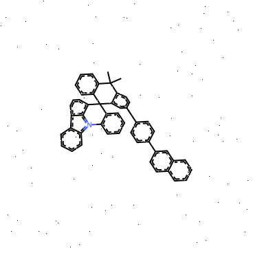 CC1(C)c2ccccc2C2(c3ccccc3-n3c4ccccc4c4cccc2c43)c2cc(-c3ccc(-c4ccc5ccccc5c4)cc3)ccc21